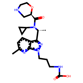 Cc1ccc2c([C@@H](C)N(C(=O)[C@H]3CNCCO3)C3CC3)nn(CCCNC(=O)O)c2n1